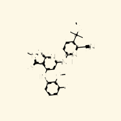 COc1c(Cl)cccc1Nc1cc(Nc2ccc(C(C)(C)OC)c(C#N)n2)nc2[nH]n(C)c(=O)c12